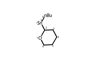 CCC[CH2][Sn][CH]1CCCCO1